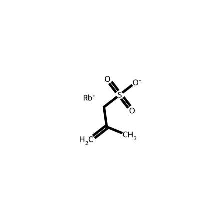 C=C(C)CS(=O)(=O)[O-].[Rb+]